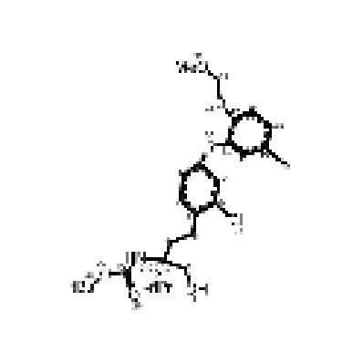 CCC[C@@](CO)(CCc1ccc(Sc2cc(C)ccc2OCOC)cc1Cl)NC(=O)OC(C)(C)C